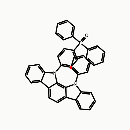 O=P(c1ccccc1)(c1ccccc1)c1ccc(-n2c3ccccc3c3ccc4c5ccccc5n(-c5ccccc5)c4c32)cc1